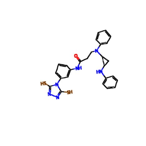 O=C(CCN(c1ccccc1)C1CC1Nc1ccccc1)Nc1cccc(-n2c(S)nnc2S)c1